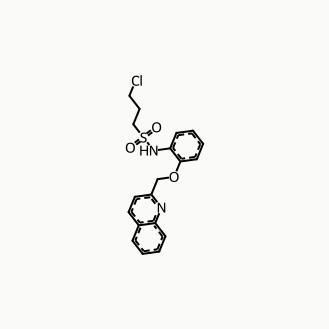 O=S(=O)(CCCCl)Nc1ccccc1OCc1ccc2ccccc2n1